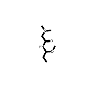 CCC(NC(=O)CN(C)C)OC